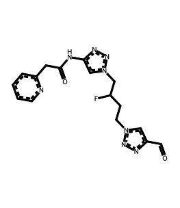 O=Cc1cn(CCC(F)Cn2cc(NC(=O)Cc3ccccn3)nn2)nn1